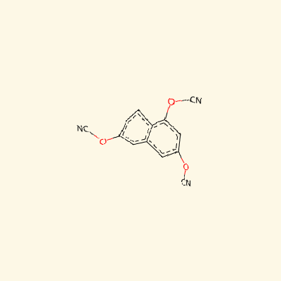 N#COc1ccc2c(OC#N)cc(OC#N)cc2c1